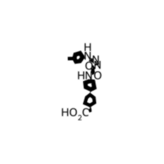 Cc1ccc(Nc2nnc(C(=O)Nc3ccc([C@H]4CC[C@H](CC(=O)O)CC4)cc3)o2)cc1